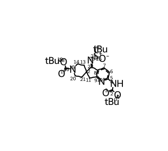 CC(C)(C)OC(=O)Nc1ccc2c(n1)CC1(CCN(C(=O)OC(C)(C)C)CC1)/C2=N/[S+]([O-])C(C)(C)C